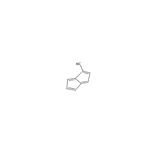 N#CC1=CC=C2C=CC=C12